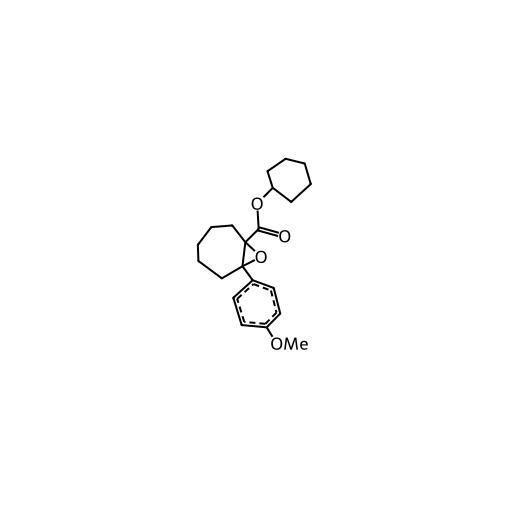 COc1ccc(C23CCCCCC2(C(=O)OC2CCCCC2)O3)cc1